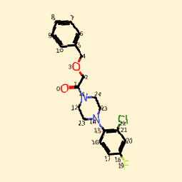 O=C(COCc1ccccc1)N1CCN(c2ccc(F)cc2Cl)CC1